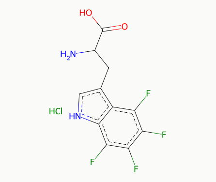 Cl.NC(Cc1c[nH]c2c(F)c(F)c(F)c(F)c12)C(=O)O